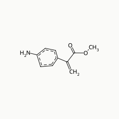 C=C(C(=O)OC)c1ccc(N)cc1